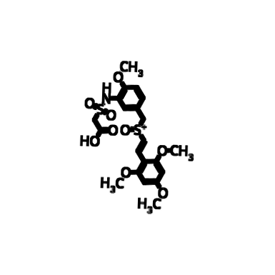 COc1cc(OC)c(/C=C/[S+]([O-])Cc2ccc(OC)c(NS(=O)(=O)CC(=O)O)c2)c(OC)c1